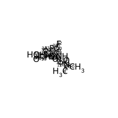 CCCN(CCC)C(=O)c1cccc(C(=O)N[C@@H](Cc2cc(F)cc(F)c2)[C@@H](O)C[C@@H](Cc2ccccc2)C(=O)NCC2CCC(C(=O)O)CC2)c1